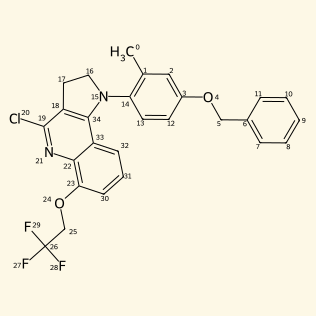 Cc1cc(OCc2ccccc2)ccc1N1CCc2c(Cl)nc3c(OCC(F)(F)F)cccc3c21